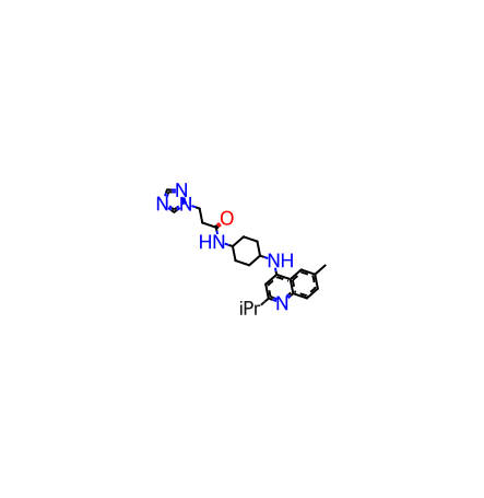 Cc1ccc2nc(C(C)C)cc(NC3CCC(NC(=O)CCn4cncn4)CC3)c2c1